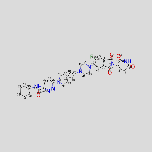 O=C1CCC(N2C(=O)c3cc(F)c(N4CCN(C5CC6(CCN(c7ccc(C(=O)NC8CCCCC8)nn7)CC6)C5)CC4)cc3C2=O)C(=O)N1